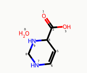 O.O=C(O)C1C=CNCN1